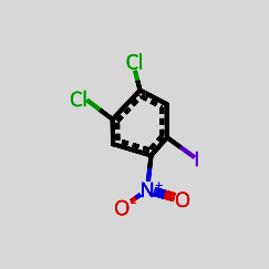 O=[N+]([O-])c1cc(Cl)c(Cl)cc1I